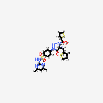 Cc1cc(C)nc(NS(=O)(=O)c2ccc(NC(=O)/C(=C\c3cccs3)NC(=O)c3cccs3)cc2)n1